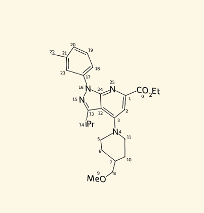 CCOC(=O)c1cc(N2CCC(COC)CC2)c2c(C(C)C)nn(-c3cccc(C)c3)c2n1